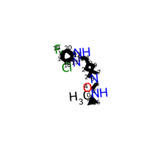 CC1(NC(=O)CN2CC3(CC(Cc4nc5c(Cl)cc(F)cc5[nH]4)C3)C2)CC1